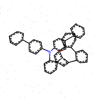 c1ccc(-c2ccc(N(c3ccc(-c4ccccc4)cc3)c3ccccc3-c3c4cccc3-c3ccccc3-c3ccccc3-4)cc2)cc1